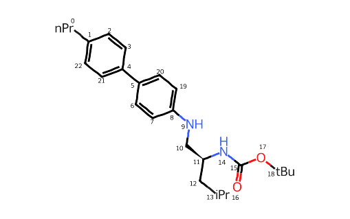 CCCc1ccc(-c2ccc(NC[C@H](CC(C)C)NC(=O)OC(C)(C)C)cc2)cc1